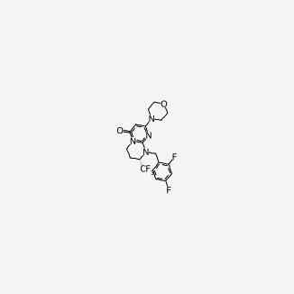 O=c1cc(N2CCOCC2)nc2n1CC[C@@H](C(F)(F)F)N2Cc1ccc(F)cc1F